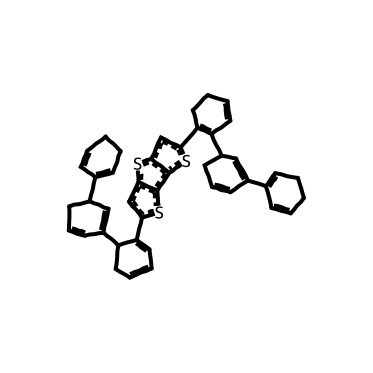 C1=CCC(C2=CC(C3=CCCC=C3)CC=C2)C(c2cc3sc4cc(C5=C(C6C=C(C7=CCCC=C7)C=CC6)C=CCC5)sc4c3s2)=C1